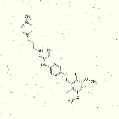 COc1cc(OC)c(F)c(COc2cnc(N/C(C=N)=C/NCCCN3CCN(C)CC3)nc2)c1F